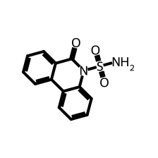 NS(=O)(=O)n1c(=O)c2ccccc2c2ccccc21